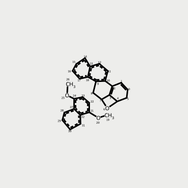 C1=CC2=C3C(C1)OC3Cc1c2ccc2ccccc12.COc1ccc(OC)c2ccccc12